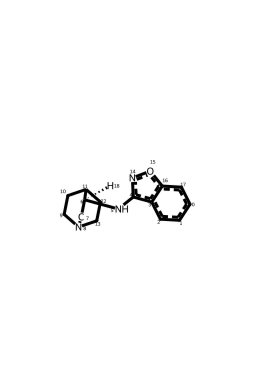 c1ccc2c(N[C@H]3CN4CCC3CC4)noc2c1